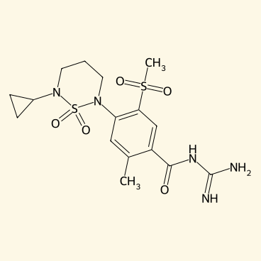 Cc1cc(N2CCCN(C3CC3)S2(=O)=O)c(S(C)(=O)=O)cc1C(=O)NC(=N)N